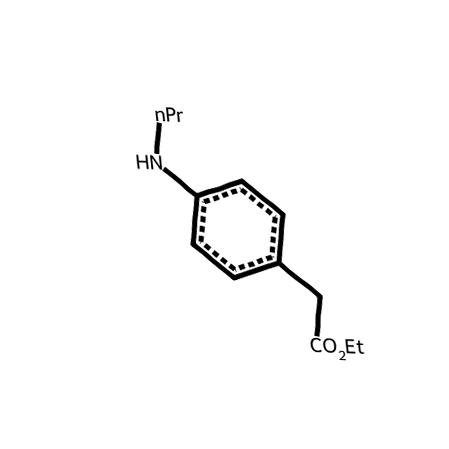 CCCNc1ccc(CC(=O)OCC)cc1